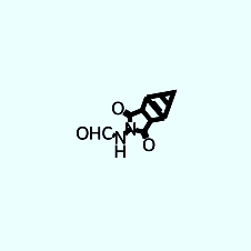 O=CNN1C(=O)C2C3C=CC(C4CC34)C2C1=O